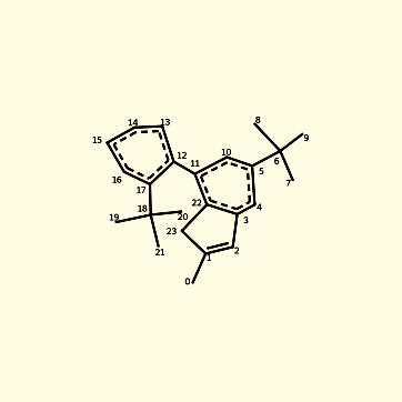 CC1=Cc2cc(C(C)(C)C)cc(-c3ccccc3C(C)(C)C)c2C1